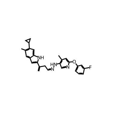 C=C(C/C=N\Nc1cnc(Oc2cccc(F)c2)cc1C)c1cc2cc(C)c(C3CC3)cc2[nH]1